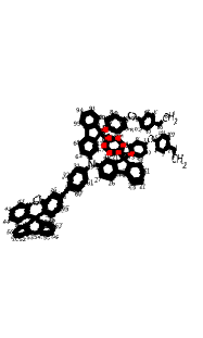 C=Cc1ccc(Oc2ccc(C3(c4ccc(F)cc4)c4ccccc4-c4ccc(N(c5ccc(-c6ccc7c(c6)Oc6ccccc6C76c7ccccc7-c7ccccc76)cc5)c5ccc6c(c5)C(c5ccc(F)cc5)(c5ccc(Oc7ccc(C=C)cc7)cc5)c5ccccc5-6)cc43)cc2)cc1